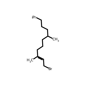 CC(=CCBr)CCCC(C)CCCC(C)C